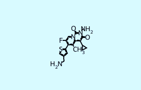 Cc1c(-c2cc(CN)cs2)c(F)cn2c(=O)n(N)c(=O)c(C3CC3)c12